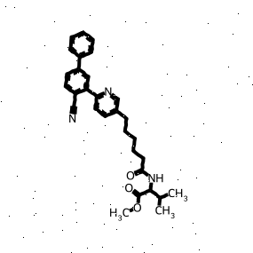 COC(=O)C(NC(=O)CCCCCc1ccc(-c2cc(-c3ccccc3)ccc2C#N)nc1)C(C)C